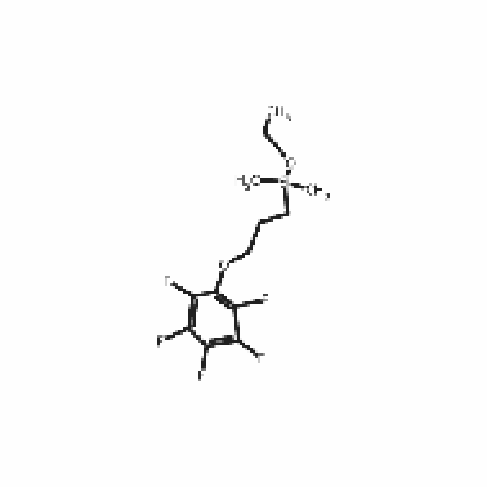 CCO[Si](C)(C)CCCOc1c(F)c(F)c(F)c(F)c1F